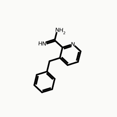 N=C(N)c1ncccc1Cc1ccccc1